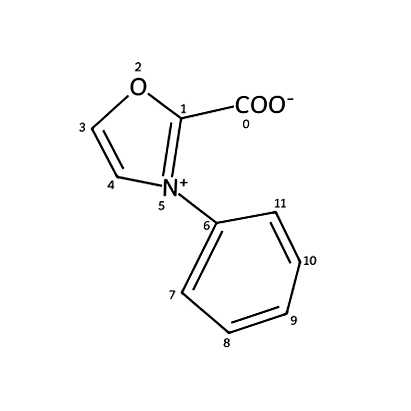 O=C([O-])c1occ[n+]1-c1ccccc1